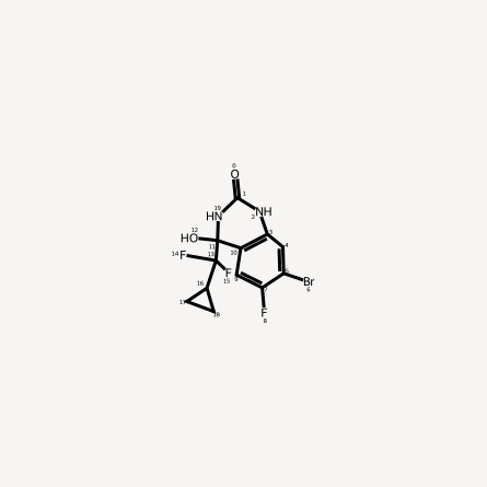 O=C1Nc2cc(Br)c(F)cc2C(O)(C(F)(F)C2CC2)N1